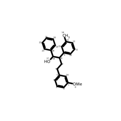 COc1cccc(CCC(c2cccc(C)c2)C(O)c2ccccc2)c1